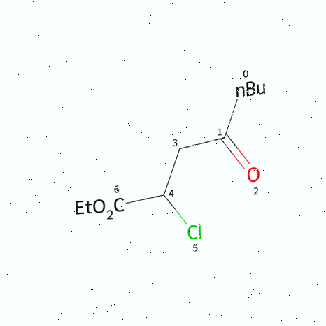 CCCCC(=O)CC(Cl)C(=O)OCC